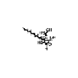 CCCCCCCCCCCCC1(OCC(O)CO)O[C@H](CO)[C@@H](O)[C@H](O)[C@H]1O